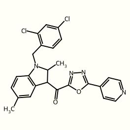 Cc1ccc2c(c1)C(C(=O)c1nnc(-c3ccncc3)o1)C(C)N2Cc1ccc(Cl)cc1Cl